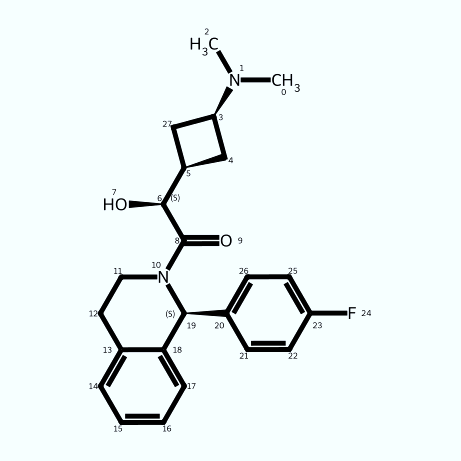 CN(C)[C@H]1C[C@@H]([C@H](O)C(=O)N2CCc3ccccc3[C@@H]2c2ccc(F)cc2)C1